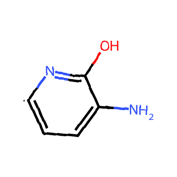 Nc1cc[c]nc1O